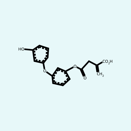 C=C(CC(=O)Oc1cccc(Oc2cccc(O)c2)c1)C(=O)O